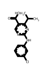 CC(C)c1nc(Nc2cccc(Cl)c2)ncc1C(=O)O